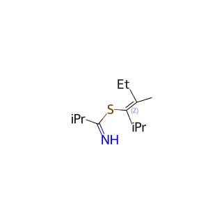 CC/C(C)=C(\SC(=N)C(C)C)C(C)C